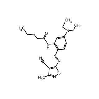 CCCCC(=O)Nc1cc(N(CC)CC)ccc1/N=N/c1snc(C)c1C#N